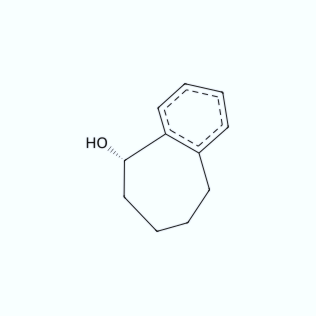 O[C@H]1CCCCc2ccccc21